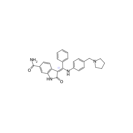 NC(=O)c1ccc2c(c1)NC(=O)/C2=C(\Nc1ccc(CN2CCCC2)cc1)c1ccccc1